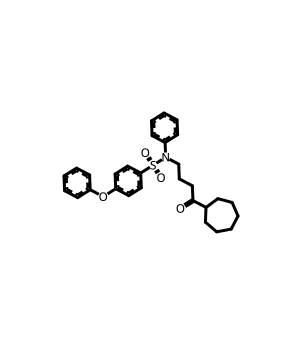 O=C(CCCN(c1ccccc1)S(=O)(=O)c1ccc(Oc2ccccc2)cc1)C1CCCCCC1